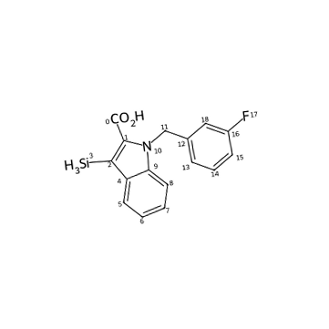 O=C(O)c1c([SiH3])c2ccccc2n1Cc1cccc(F)c1